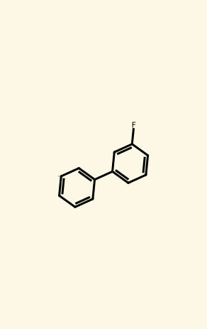 Fc1cccc(-c2c[c]ccc2)c1